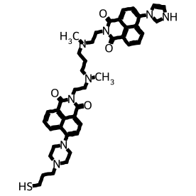 CN(CCCN(C)CCN1C(=O)c2cccc3c(N4CCN(CCCS)CC4)ccc(c23)C1=O)CCN1C(=O)c2cccc3c(N4C=CNC4)ccc(c23)C1=O